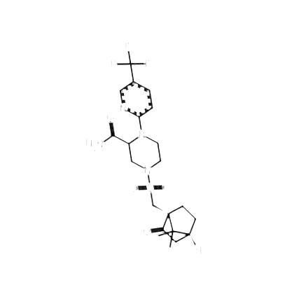 CC1(C)[C@@H]2CC[C@@]1(CS(=O)(=O)N1CCN(c3ccc(C(F)(F)F)cn3)C(C(N)=O)C1)C(=O)C2